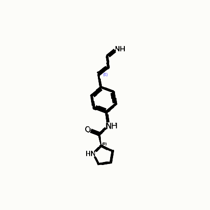 N=C/C=C/c1ccc(NC(=O)[C@H]2CCCN2)cc1